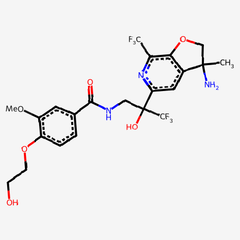 COc1cc(C(=O)NCC(O)(c2cc3c(c(C(F)(F)F)n2)OCC3(C)N)C(F)(F)F)ccc1OCCO